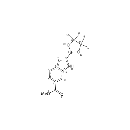 COC(=O)c1ccc2cc(B3OC(C)(C)C(C)(C)O3)[nH]c2c1